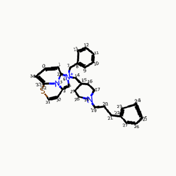 C1=CC2N3C(=C[N+]2(Cc2ccccc2)CC2CCN(CCCc4ccccc4)CC2)C=CSC3=C1